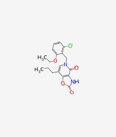 CCCc1cn(Cc2c(Cl)cccc2OCC)c(=O)c2[nH]c(=O)oc12